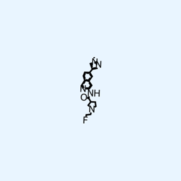 Cn1cc(-c2ccc3cnc(NC(=O)C4CCN(CCF)C4)cc3c2)cn1